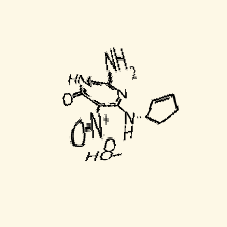 CO.Nc1nc(N[C@@H]2C=CCC2)c([N+](=O)[O-])c(=O)[nH]1